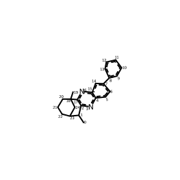 CC1c2nc3ccc(-c4ccccc4)cc3nc2C2(C)CCCC1C2